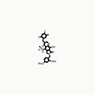 COc1ccc(CN2Cc3c(c(O)c4ncc(Cc5cc(C)c(F)cc5F)cc4c3NS(C)(=O)=O)C2=O)c(OC)c1